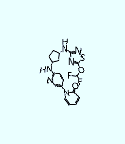 O=c1ccccn1-c1ccc(N[C@H]2CC[C@H](Nc3nsc(OC(F)F)n3)C2)nc1